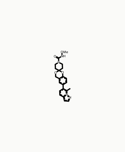 CONC(=O)N1CCC2(CC1)OCc1cc(-c3ccc4ccnn4c3C)ccc1O2